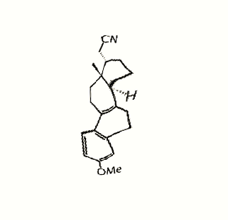 COc1ccc2c(c1)CCC1=C2CC[C@]2(C)[C@H](CC#N)CC[C@@H]12